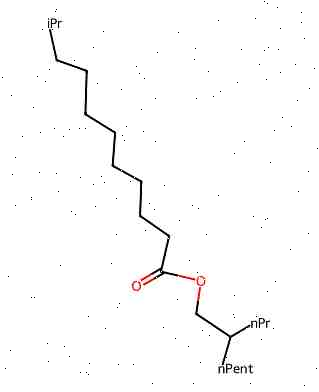 CCCCCC(CCC)COC(=O)CCCCCCCCC(C)C